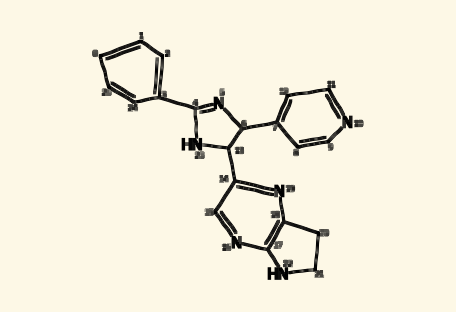 c1ccc(C2=NC(c3ccncc3)C(c3cnc4c(n3)CCN4)N2)cc1